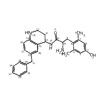 Cc1cc(O)cc(C)c1CC(N)C(=O)NC1CCNc2ccc(Cc3ccccc3)cc21